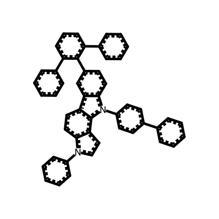 c1ccc(-c2ccc(-n3c4ccc(-c5c(-c6ccccc6)cccc5-c5ccccc5)cc4c4ccc5c(ccn5-c5ccccc5)c43)cc2)cc1